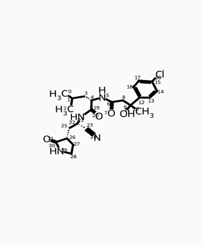 CC(C)C[C@H](NC(=O)CC(C)(O)c1ccc(Cl)cc1)C(=O)N[C@H](C#N)C[C@@H]1CCNC1=O